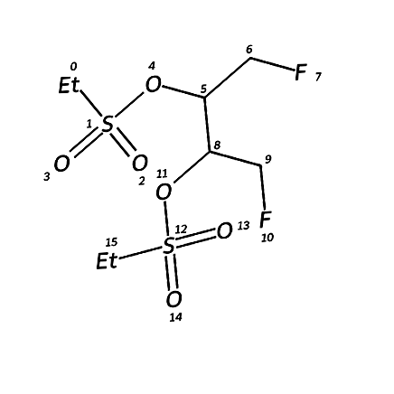 CCS(=O)(=O)OC(CF)C(CF)OS(=O)(=O)CC